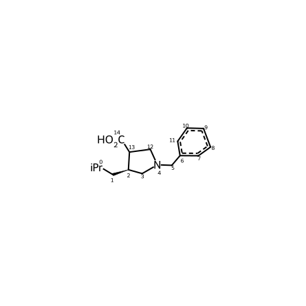 CC(C)C[C@@H]1CN(Cc2ccccc2)CC1C(=O)O